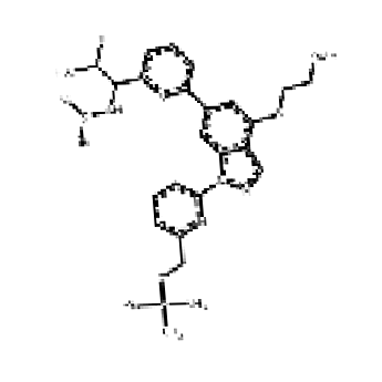 COCCOc1cc(-c2cccc([C@@H](N[S@+]([O-])C(C)(C)C)C(C)F)n2)cc2c1cnn2-c1cccc(CO[Si](C)(C)C(C)(C)C)n1